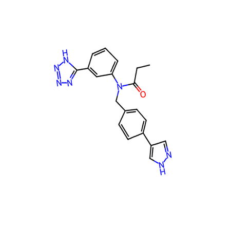 CCC(=O)N(Cc1ccc(-c2cn[nH]c2)cc1)c1cccc(-c2nnn[nH]2)c1